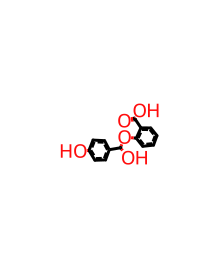 O=C(O)c1ccccc1OC(O)c1ccc(O)cc1